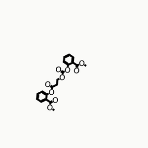 COC(=O)c1ccccc1OC(=O)CCOC(=O)Oc1ccccc1C(=O)OC